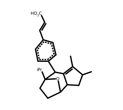 CC1=C2C(CC1C)C1CCC(C(C)C)(O1)C2c1ccc(C=CC(=O)O)cc1